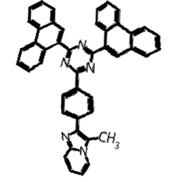 Cc1c(-c2ccc(-c3nc(-c4cc5ccccc5c5ccccc45)nc(-c4cc5ccccc5c5ccccc45)n3)cc2)nc2ccccn12